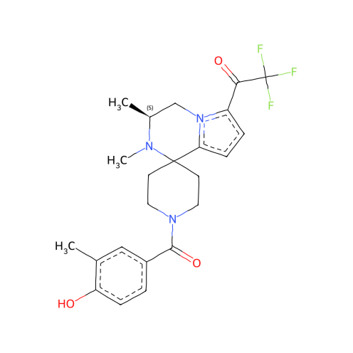 Cc1cc(C(=O)N2CCC3(CC2)c2ccc(C(=O)C(F)(F)F)n2C[C@H](C)N3C)ccc1O